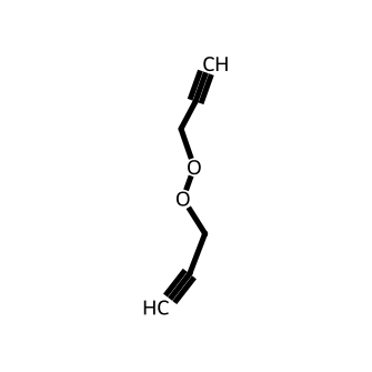 C#CCOOCC#C